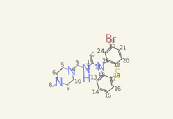 C=C(NCN1CCN(C)CC1)N1c2ccccc2Sc2ccc(Br)cc21